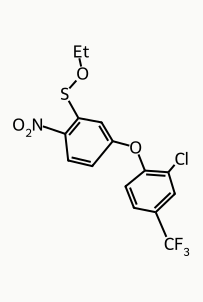 CCOSc1cc(Oc2ccc(C(F)(F)F)cc2Cl)ccc1[N+](=O)[O-]